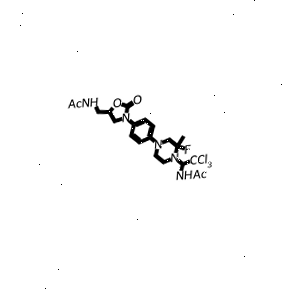 CC(=O)NCC1CN(c2ccc(N3CCN(C(NC(C)=O)C(Cl)(Cl)Cl)C(C)(F)C3)cc2)C(=O)O1